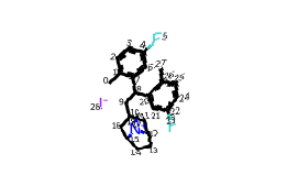 Cc1ccc(F)cc1C(CC1CC2CCC(C1)[N+]2(C)C)c1cc(F)ccc1C.[I-]